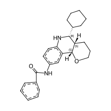 O=C(Nc1ccc2c(c1)[C@H]1OCCC[C@H]1[C@@H](C1CCCCC1)N2)c1ccccc1